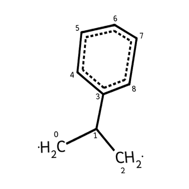 [CH2]C([CH2])c1ccccc1